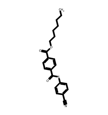 CCCCCCCOC(=O)c1ccc(C(=O)Sc2ccc(C#N)cc2)cc1